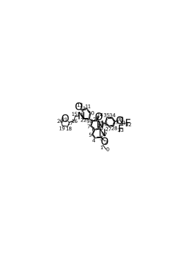 CCOc1ccc2cc(-c3ccc(=O)n(CCC4CCCO4)c3)c(=O)n(-c3ccc(OC(F)F)cc3)c2n1